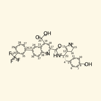 O=C(N[C@@H](Cc1ccc(O)cc1)C1=CN=CC1)c1cc(C(=O)O)c2cc(-c3cccc(C(F)(F)F)c3)ccc2n1